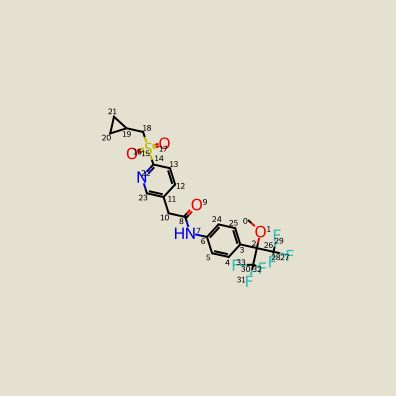 COC(c1ccc(NC(=O)Cc2ccc(S(=O)(=O)CC3CC3)nc2)cc1)(C(F)(F)F)C(F)(F)F